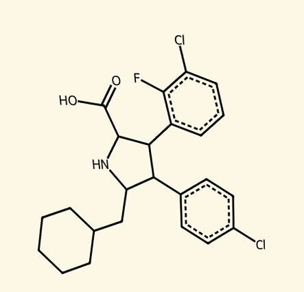 O=C(O)C1NC(CC2CCCCC2)C(c2ccc(Cl)cc2)C1c1cccc(Cl)c1F